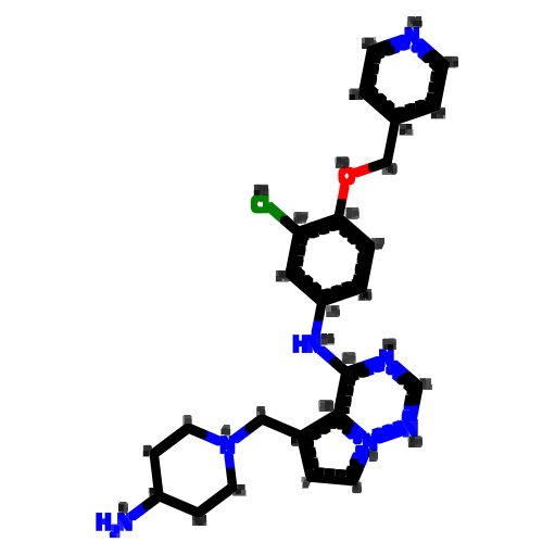 NC1CCN(Cc2ccn3ncnc(Nc4ccc(OCc5ccncc5)c(Cl)c4)c23)CC1